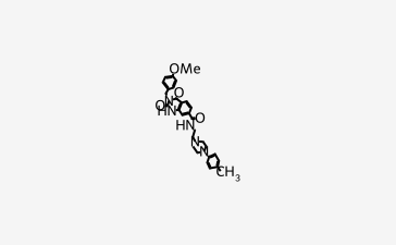 COc1ccc(Cn2c(=O)[nH]c3cc(C(=O)NCCN4CCN(c5ccc(C)cc5)CC4)ccc3c2=O)cc1